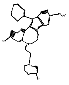 CC[C@H]1CCCN(CCN2CCn3c(c(C4CCCCC4)c4ccc(C(=O)O)cc43)-c3ccc(Cl)cc32)C1